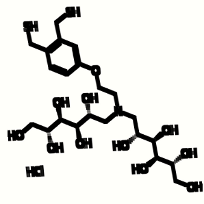 Cl.OC[C@@H](O)[C@@H](O)[C@H](O)[C@H](O)CN(CCOc1ccc(CS)c(CS)c1)C[C@@H](O)[C@@H](O)[C@H](O)[C@H](O)CO